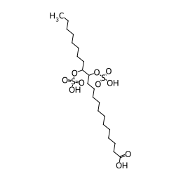 CCCCCCCCC(OS(=O)(=O)O)C(CCCCCCCCCCCC(=O)O)OS(=O)(=O)O